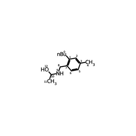 CCCCc1cc(C)ccc1CNC(C)O